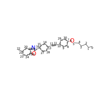 CCCCCCOc1ccc(C#Cc2ccc(-c3nc4cc(C)ccc4o3)cc2)cc1